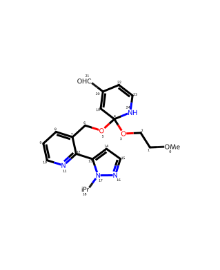 COCCOC1(OCc2cccnc2-c2ccnn2C(C)C)C=C(C=O)C=CN1